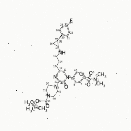 CN(C)S(=O)(=O)c1ccc(-n2cc(CCCNC3C[C@H]3c3ccc(F)cc3)nc(N3CCN(C(=O)OC(C)(C)C)CC3)c2=O)cc1